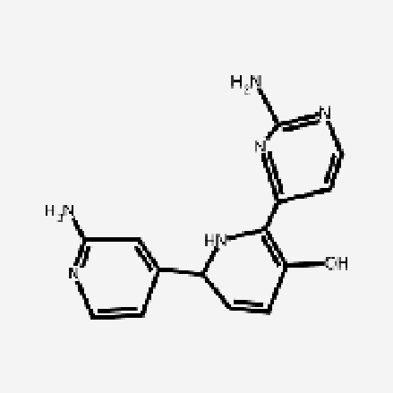 Nc1cc(C2C=CC(O)=C(c3ccnc(N)n3)N2)ccn1